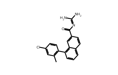 Cc1cc(Cl)ccc1-c1cccc2ccc(C(=O)N=C(N)N)cc12